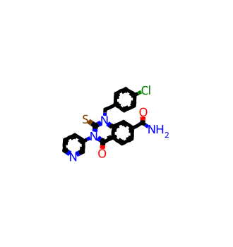 NC(=O)c1ccc2c(=O)n(-c3cccnc3)c(=S)n(Cc3ccc(Cl)cc3)c2c1